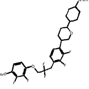 CCCCCC1CCC(C2CCC(c3ccc(CC(F)(F)COc4ccc(OC)c(F)c4F)c(F)c3F)CO2)CC1